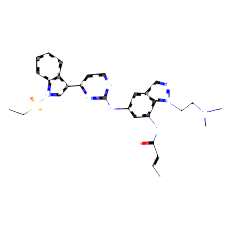 C/C=C/C(=O)Nc1cc(Nc2nccc(-c3cn(S(=O)(=O)CC)c4ccccc34)n2)cc2cnn(CCN(C)C)c12